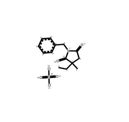 CCC1(C)CC(=O)N(Cc2ccccc2)C1=O.O=S(=O)(Cl)Cl